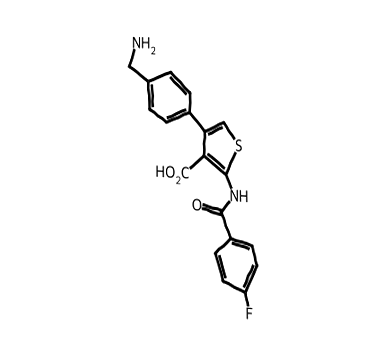 NCc1ccc(-c2csc(NC(=O)c3ccc(F)cc3)c2C(=O)O)cc1